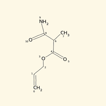 C=CCOC(=O)C(C)C(N)=O